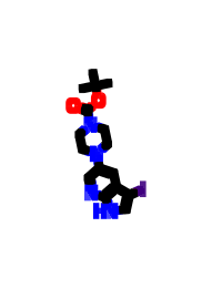 CC(C)(C)OC(=O)N1CCN(c2cnc3[nH]cc(I)c3c2)CC1